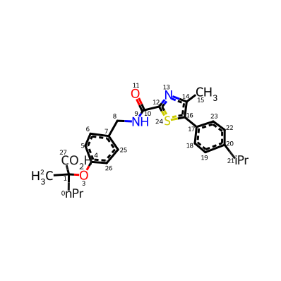 CCCC(C)(Oc1ccc(CNC(=O)c2nc(C)c(-c3ccc(C(C)C)cc3)s2)cc1)C(=O)O